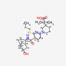 CCCSc1nc(N2CCCC(C(C)(C)C(=O)O)C2)ccc1C(=O)NC1C2CC3CC1CC(O)(C3)C2